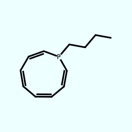 CCCCp1cccccccc1